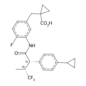 C[C@H]([C@H](C(=O)Nc1cc(CC2(C(=O)O)CC2)ccc1F)c1ccc(C2CC2)cc1)C(F)(F)F